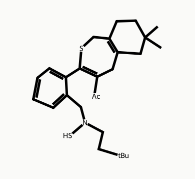 CC(=O)C1=C(c2ccccc2CN(S)CCC(C)(C)C)SCC2=C(C1)CC(C)(C)CC2